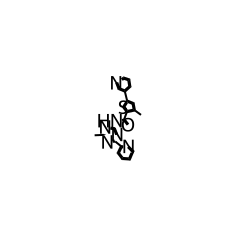 Cc1nc(NC(=O)c2sc(-c3cccnc3)cc2C)nc(-c2ccccn2)n1